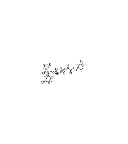 Cc1ccc(OCC(=O)NC23CC(NC(=O)C4CN(C(=O)[C@H]5C[C@@H]5F)c5cc(Cl)ccc5O4)(C2)C3)cc1F